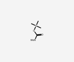 CNC(=O)O[Si](C)(C)C